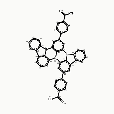 O=C(O)c1ccc(-c2cc3c4c(c2)B2c5ccccc5-c5cc(-c6ccc(C(=O)O)cc6)cc(c52)N4c2cccc4c2B3c2ccccc2-4)cc1